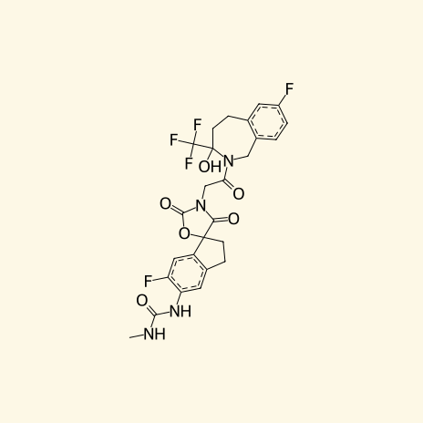 CNC(=O)Nc1cc2c(cc1F)C1(CC2)OC(=O)N(CC(=O)N2Cc3ccc(F)cc3CCC2(O)C(F)(F)F)C1=O